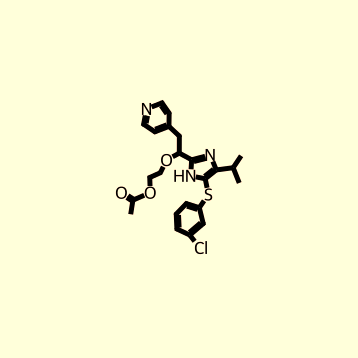 CC(=O)OCCOC(Cc1ccncc1)c1nc(C(C)C)c(Sc2cccc(Cl)c2)[nH]1